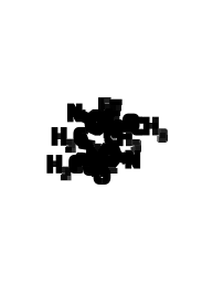 C=CCN(CC=C)c1ccc(C#N)cc1[N+](=O)[O-].COCCN(C)c1ccc(C#N)cc1C(F)(F)F